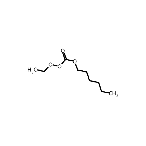 CCCCCCOC(=O)OOCC